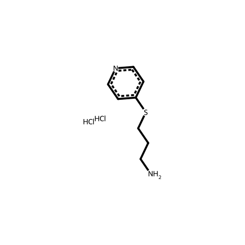 Cl.Cl.NCCCSc1ccncc1